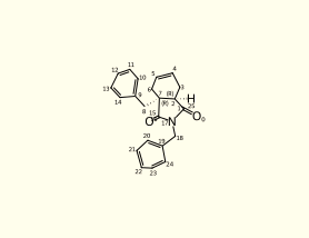 O=C1[C@@H]2CC=CC[C@]2(Cc2ccccc2)C(=O)N1Cc1ccccc1